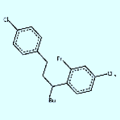 CCC(C)[C](CCc1ccc(Cl)cc1)c1ccc(C(F)(F)F)cc1C(C)C